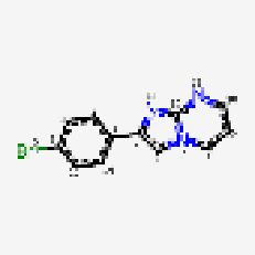 Brc1ccc(-c2cn3cccnc3n2)cc1